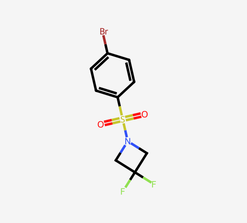 O=S(=O)(c1ccc(Br)cc1)N1CC(F)(F)C1